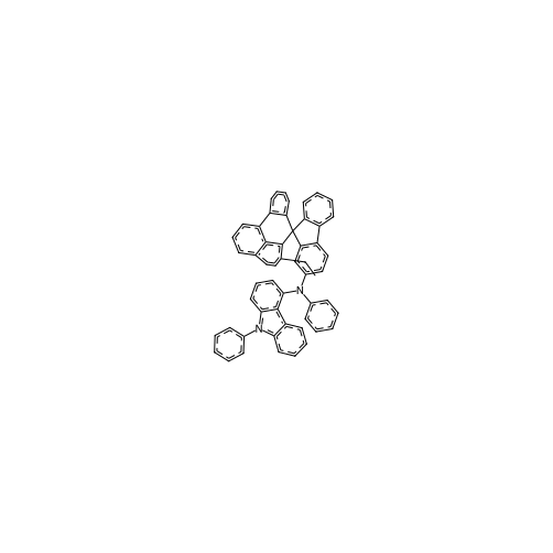 CCc1ccc2cccc3c2c1C1(c2ccccc2-c2ccc(N(c4ccccc4)c4cccc5c4c4ccccc4n5-c4ccccc4)cc21)c1ccccc1-3